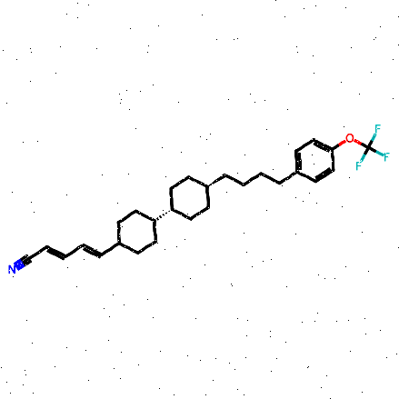 N#C/C=C/C=C/C1CCC([C@H]2CC[C@H](CCCCc3ccc(OC(F)(F)F)cc3)CC2)CC1